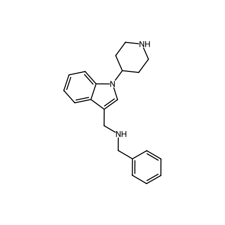 c1ccc(CNCc2cn(C3CCNCC3)c3ccccc23)cc1